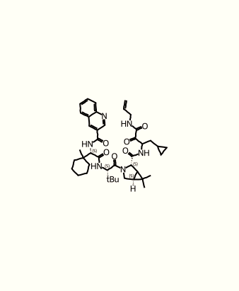 C=CCNC(=O)C(=O)C(CC1CC1)NC(=O)[C@@H]1C2[C@H](CN1C(=O)[C@@H](NC(=O)[C@@H](NC(=O)c1cnc3ccccc3c1)C1(C)CCCCC1)C(C)(C)C)C2(C)C